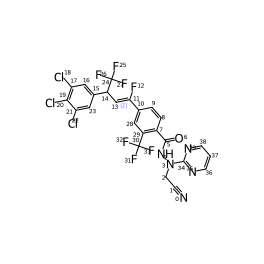 N#CCN(NC(=O)c1ccc(/C(F)=C/C(c2cc(Cl)c(Cl)c(Cl)c2)C(F)(F)F)cc1C(F)(F)F)c1ncccn1